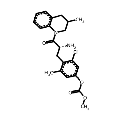 COC(=O)Oc1cc(C)c(C[C@@H](N)C(=O)N2CC(C)Cc3ccccc32)c(Cl)c1